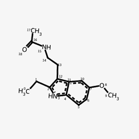 CCc1[nH]c2ccc(OC)cc2c1CCNC(C)=O